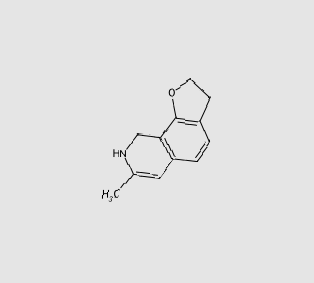 CC1=Cc2ccc3c(c2CN1)OCC3